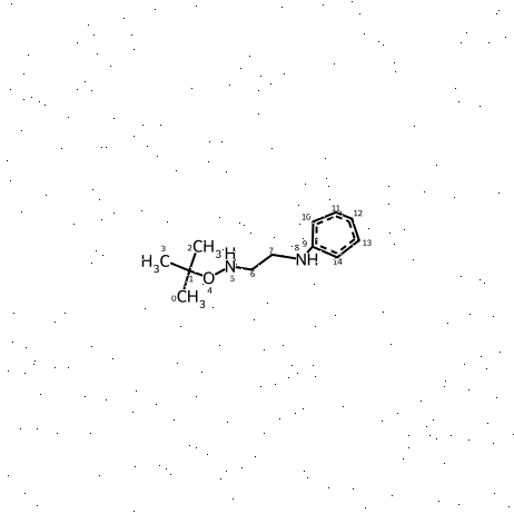 CC(C)(C)ONCCNc1c[c]ccc1